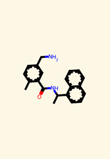 Cc1ccc(CN)cc1C(=O)NC(C)c1cccc2ccccc12